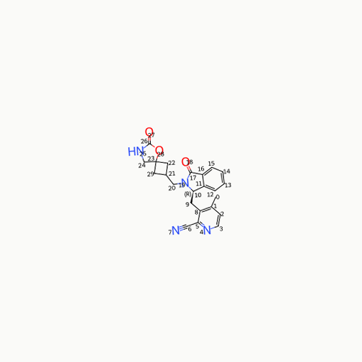 Cc1ccnc(C#N)c1C[C@@H]1c2ccccc2C(=O)N1CC1CC2(CNC(=O)O2)C1